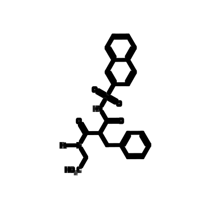 CCN(CC(=O)O)C(=O)C(Cc1ccccc1)C(=O)NS(=O)(=O)c1ccc2ccccc2c1